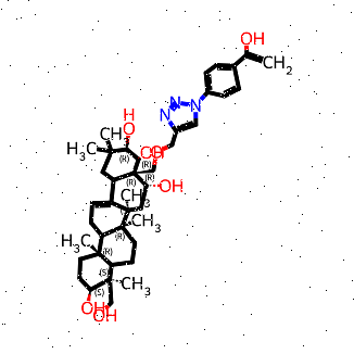 C=C(O)c1ccc(-n2cc(COC[C@@]34C(CC(C)(C)[C@@H](O)[C@@H]3O)C3=CCC5[C@@]6(C)CC[C@H](O)[C@](C)(CO)C6CC[C@@]5(C)[C@]3(C)C[C@H]4O)nn2)cc1